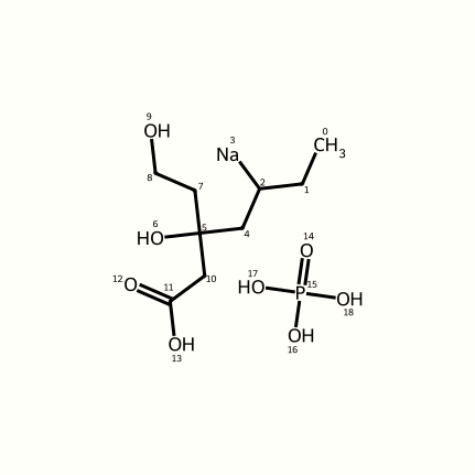 CC[CH]([Na])CC(O)(CCO)CC(=O)O.O=P(O)(O)O